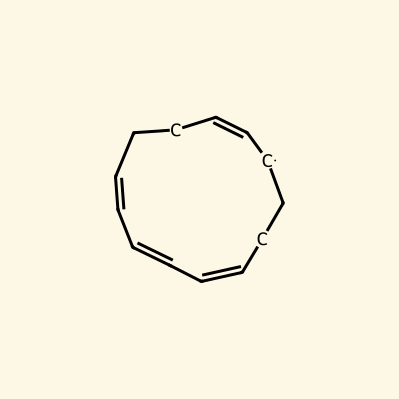 [CH]1C=CCCC=CC=CC=CCC1